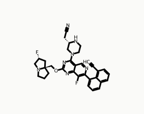 C#Cc1cccc2cccc(-c3ncc4c(N5CCN[C@@H](CC#N)C5)nc(OC[C@@]56CCCN5C[C@H](F)C6)nc4c3F)c12